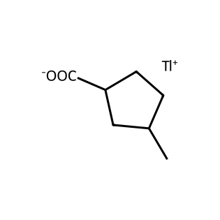 CC1CCC(C(=O)[O-])C1.[Tl+]